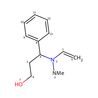 C=CN(NC)C(CCO)c1ccccc1